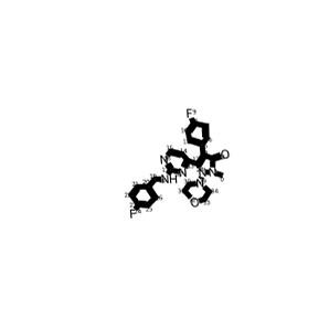 Cn1c(=O)c(-c2ccc(F)cc2)c(-c2ccnc(NCc3ccc(F)cc3)n2)n1N1CCOCC1